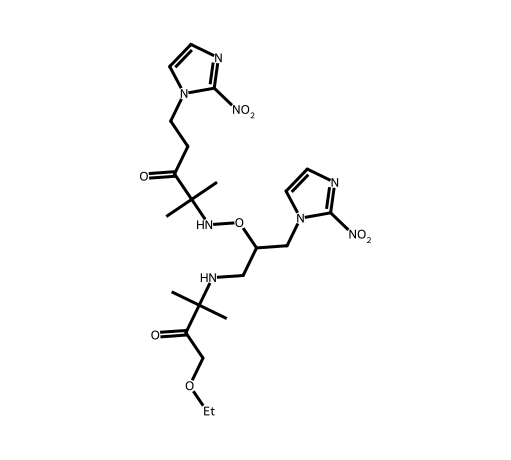 CCOCC(=O)C(C)(C)NCC(Cn1ccnc1[N+](=O)[O-])ONC(C)(C)C(=O)CCn1ccnc1[N+](=O)[O-]